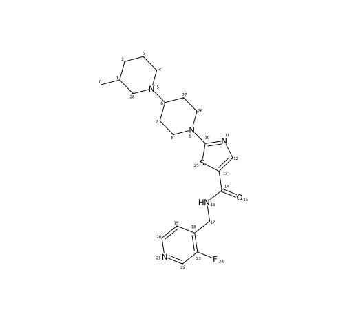 CC1CCCN(C2CCN(c3ncc(C(=O)NCc4ccncc4F)s3)CC2)C1